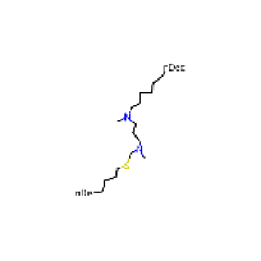 CCCCCCCCCCCCCCCCN(C)CCCN(C)CSCCCCCCCCCCCCCC